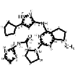 C[C@H]1CCc2c(Nc3cc(C4CCCC4)[nH]n3)nc(N3CCC[C@H]3C(=O)Nc3nccs3)nc21